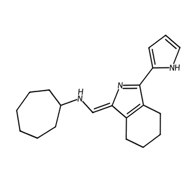 C(NC1CCCCCC1)=C1N=C(c2ccc[nH]2)C2=C1CCCC2